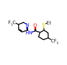 CCSC1CC(C(F)(F)F)CCC1C(=O)NC1=NCC(C(F)(F)F)C=C1